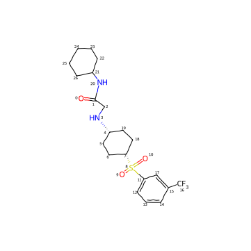 O=C(CN[C@H]1CC[C@@H](S(=O)(=O)c2cccc(C(F)(F)F)c2)CC1)NC1CCCCC1